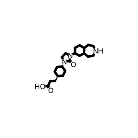 O=C(O)CC[C@H]1CC[C@H](N2CCN(C3CCC4CCNCCC4C3)C2=O)CC1